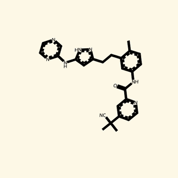 Cc1ccc(NC(=O)c2cc(C(C)(C)C#N)ccn2)cc1CCc1cc(Nc2cnccn2)[nH]n1